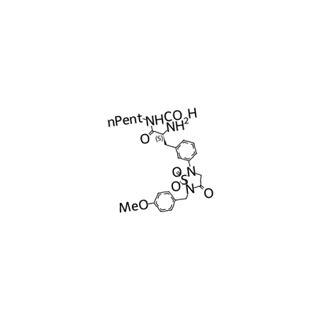 CCCCCNC(=O)[C@H](Cc1cccc(N2CC(=O)N(Cc3ccc(OC)cc3)S2(=O)=O)c1)NC(=O)O